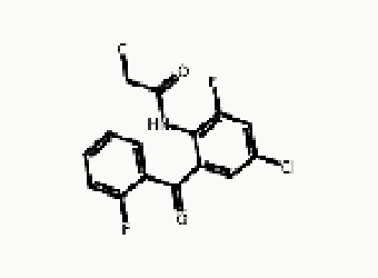 O=C(CCl)Nc1c(F)cc(Cl)cc1C(=O)c1ccccc1F